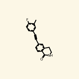 Cc1cc(C#Cc2ccc3c(c2)CCNC3=O)ccc1F